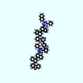 c1ccc(-c2nc(-c3ccc4ccccc4c3)nc(-c3ccc(-c4ccc(-c5cccc6oc7c(-c8cc9oc%10cccc(-c%11nc(-c%12ccccc%12)nc(-c%12ccc(-c%13ccc(-c%14cccc%15oc%16ccccc%16c%14%15)c%14ccccc%13%14)c%13ccccc%12%13)n%11)c%10c9cn8)cncc7c56)c5ccccc45)c4ccccc34)n2)cc1